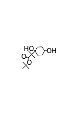 CC(C)(C)OC(=O)C(C)(C)[C@]1(O)CC[C@@H](O)CC1